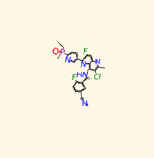 CCP(C)(=O)c1ccc(-c2nc3c(N[C@H](C)c4cc(C#N)ccc4F)c(Cl)c(C)nc3cc2F)cn1